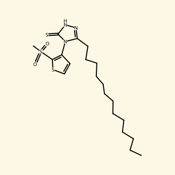 CCCCCCCCCCCCCc1n[nH]c(=S)n1-c1ccsc1S(C)(=O)=O